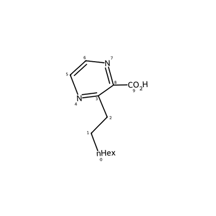 CCCCCCCCc1nccnc1C(=O)O